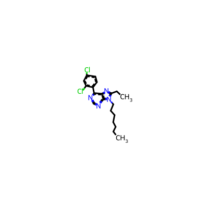 CCCCCCCn1c(CC)nc2c(-c3ccc(Cl)cc3Cl)ncnc21